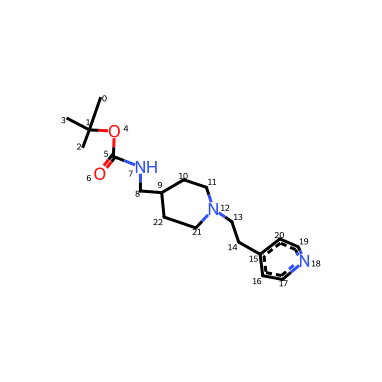 CC(C)(C)OC(=O)NCC1CCN(CCc2ccncc2)CC1